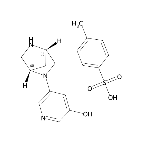 Cc1ccc(S(=O)(=O)O)cc1.Oc1cncc(N2C[C@@H]3C[C@H]2CN3)c1